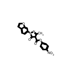 CC1=NN(c2ccc3ccoc3c2)C(=O)C1C(=O)Oc1ccc([N+](=O)[O-])cc1